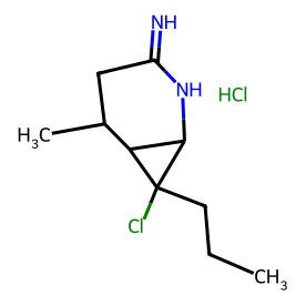 CCCC1(Cl)C2NC(=N)CC(C)C21.Cl